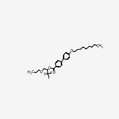 CCCCCCCCCOc1ccc(-c2ccc(C(=O)OC(COCCC)C(F)(F)F)cc2)cc1